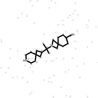 CC(C)C1CCC2(CC1)CN(C(C)(C)C1CC3(CCNCC3)C1)C2